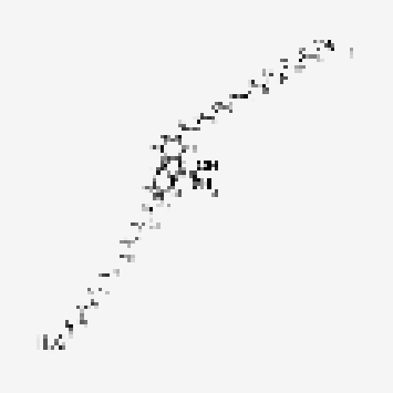 CCCCCCCCCCCCCCCCCCc1ccc2c3ccc(CCCCCCCCCCCCCCCCCC)cc3n(C(C)O)c2c1